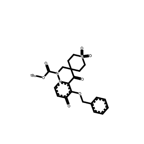 CC(C)(C)OC(=O)N1CC2(CCS(=O)(=O)CC2)C(=O)c2c(OCc3ccccc3)c(=O)ccn21